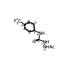 [CH2]C(=O)NNC(=S)Nc1ccc(C(F)(F)F)cc1